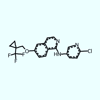 FC(F)(F)C1(COc2ccc3c(Nc4ccc(Cl)nc4)nccc3c2)CC1